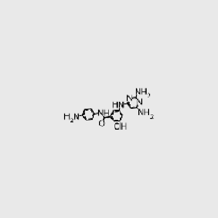 Cl.Nc1ccc(NC(=O)c2cccc(Nc3cc(N)nc(N)n3)c2)cc1